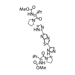 COC(=O)N[C@H](C(=O)N1CCCC1[C@@H]1CN=C(c2cn3cc(-c4cnc([C@@H]5CCCN5C(=O)[C@@H](NC(=O)OC)C(C)C)[nH]4)sc3n2)N1)C(C)C